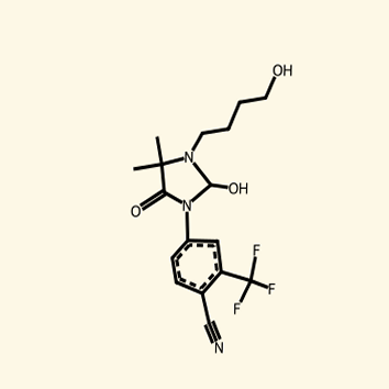 CC1(C)C(=O)N(c2ccc(C#N)c(C(F)(F)F)c2)C(O)N1CCCCO